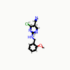 COc1ccccc1CNc1ncc(C#N)c(Cl)n1